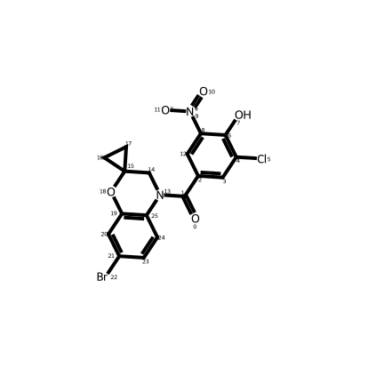 O=C(c1cc(Cl)c(O)c([N+](=O)[O-])c1)N1CC2(CC2)Oc2cc(Br)ccc21